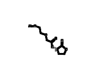 COCCOCC(=O)O[C@H]1CCOC1=O